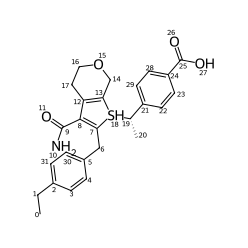 CCc1ccc(CC2=C(C(N)=O)C3=C(COCC3)[SH]2[C@@H](C)c2ccc(C(=O)O)cc2)cc1